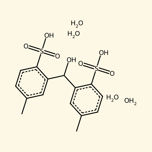 Cc1ccc(S(=O)(=O)O)c(C(O)c2cc(C)ccc2S(=O)(=O)O)c1.O.O.O.O